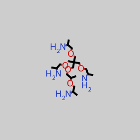 CC(N)COCC(COCC(C)N)(COCC(C)N)COCC(C)OCC(C)N